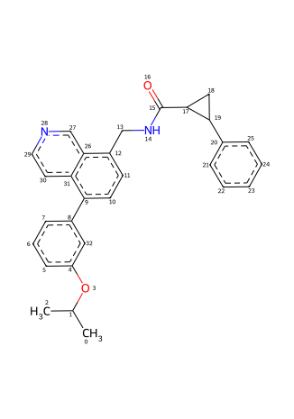 CC(C)Oc1cccc(-c2ccc(CNC(=O)C3CC3c3ccccc3)c3cnccc23)c1